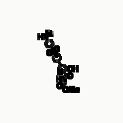 CCNc1ccc(S(=O)(=O)N2CC=C(c3cnc(C(=O)NCC(=O)OC)c(O)c3)CC2)cc1